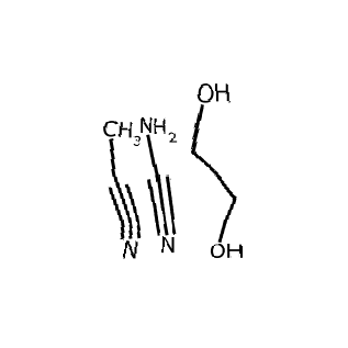 CC#N.N#CN.OCCO